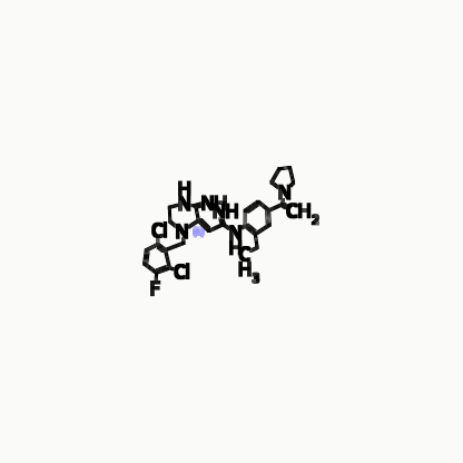 C=C(c1ccc(NC(=N)/C=C2\C(=N)NCCN2Cc2c(Cl)ccc(F)c2Cl)c(CC)c1)N1CCCC1